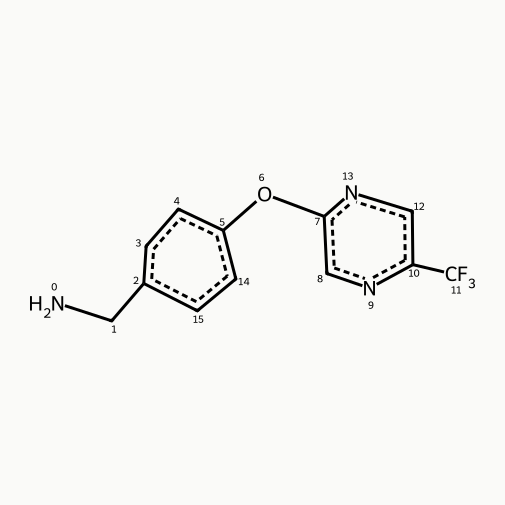 NCc1ccc(Oc2cnc(C(F)(F)F)cn2)cc1